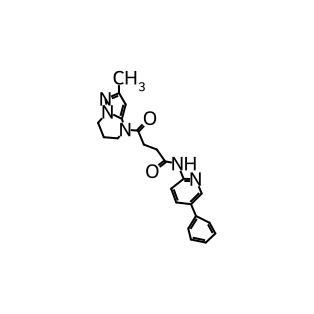 Cc1cc2n(n1)CCCN2C(=O)CCC(=O)Nc1ccc(-c2ccccc2)cn1